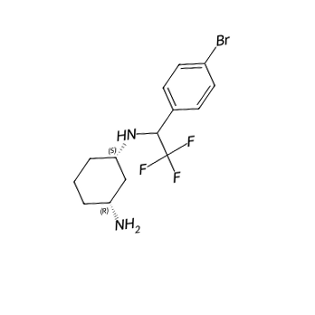 N[C@@H]1CCC[C@H](NC(c2ccc(Br)cc2)C(F)(F)F)C1